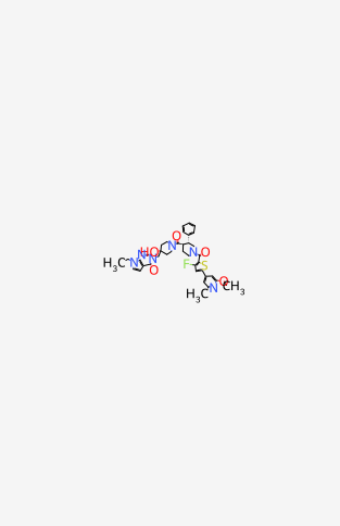 CCn1ccc2c(=O)n(CC3(O)CCN(C(=O)[C@@H]4CCN(C(=O)c5sc(-c6cc(C)nc(OC)c6)cc5F)C[C@H]4c4ccccc4)CC3)cnc21